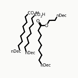 CCCCCCCCCCCCCCCCCC(=O)O.CCCCCCCCCCCCCCCCCC(=O)O.CCCCCCCCCCCCCCCCCC(=O)OCCCCCCCCCCCC